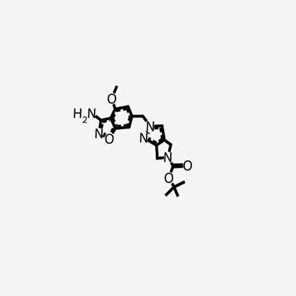 COc1cc(Cn2cc3c(n2)CN(C(=O)OC(C)(C)C)C3)cc2onc(N)c12